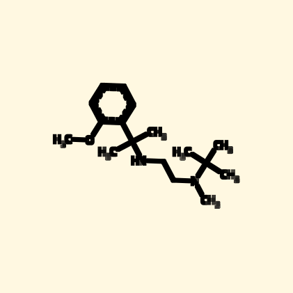 COc1ccccc1C(C)(C)NCCN(C)C(C)(C)C